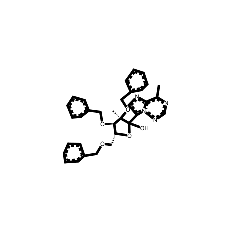 Cc1ncnn2c(C3(O)O[C@H](COCc4ccccc4)[C@@H](OCc4ccccc4)[C@@]3(C)OCc3ccccc3)cnc12